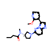 CCCC(=O)N(C)[C@H]1CCN(c2ccc3ncc(-c4cccnc4OC)n3n2)C1